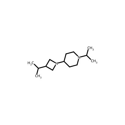 CC(C)C1CN(C2CCN(C(C)C)CC2)C1